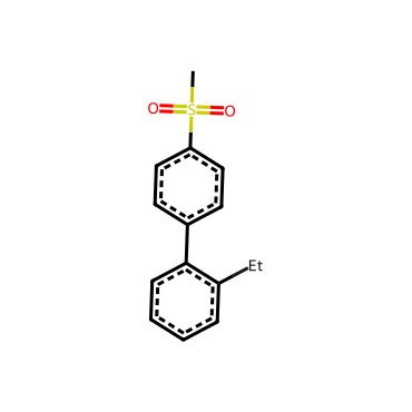 CCc1ccccc1-c1ccc(S(C)(=O)=O)cc1